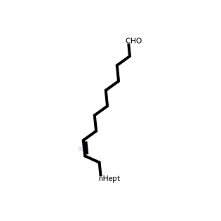 CCCCCCCC/C=C\CCCCCCCC=O